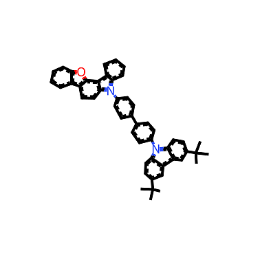 CC(C)(C)c1ccc2c(c1)c1cc(C(C)(C)C)ccc1n2-c1ccc(-c2ccc(-n3c4ccccc4c4c5oc6ccccc6c5ccc43)cc2)cc1